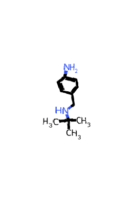 CC(C)(C)NCc1ccc(N)cc1